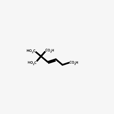 O=C(O)CC=CC(C(=O)O)(C(=O)O)C(=O)O